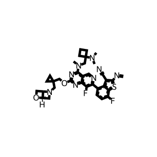 C=Nc1sc2c(F)ccc(-c3ncc4c(N(C)CC5(N(C)C)CCC5)nc(OCC5(CN6C[C@H]7OCC76)CC5)nc4c3F)c2c1C#N